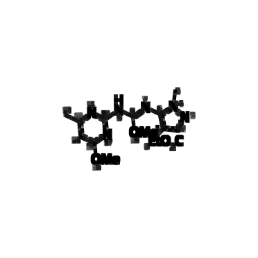 CCOC(=O)c1cnn(C)c1/N=C(/Nc1nc(C)cc(OC)n1)OC